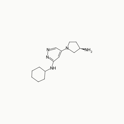 N[C@@H]1CCN(c2cnnc(NC3CCCCC3)c2)C1